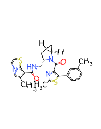 Cc1cccc(-c2sc(C)nc2C(=O)N2[C@H](CNC(=O)c3c(C)cn4ccsc34)C[C@@H]3C[C@@H]32)c1